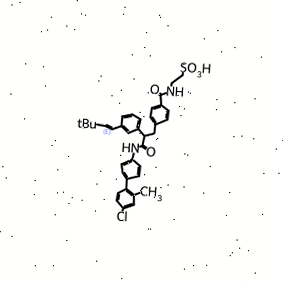 Cc1cc(Cl)ccc1-c1ccc(NC(=O)C(Cc2ccc(C(=O)NCCS(=O)(=O)O)cc2)c2cccc(/C=C/C(C)(C)C)c2)cc1